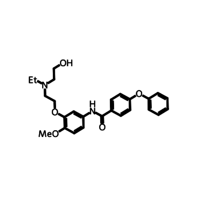 CCN(CCO)CCOc1cc(NC(=O)c2ccc(Oc3ccccc3)cc2)ccc1OC